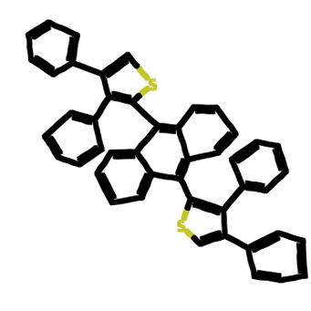 c1ccc(-c2csc(-c3c4ccccc4c(-c4scc(-c5ccccc5)c4-c4ccccc4)c4ccccc34)c2-c2ccccc2)cc1